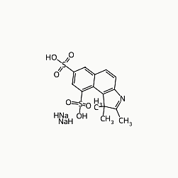 CC1=Nc2ccc3cc(S(=O)(=O)O)cc(S(=O)(=O)O)c3c2C1(C)C.[NaH].[NaH]